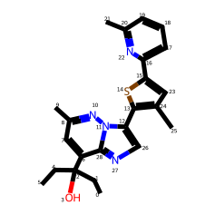 CCC(O)(CC)c1cc(C)nn2c(-c3sc(-c4cccc(C)n4)cc3C)cnc12